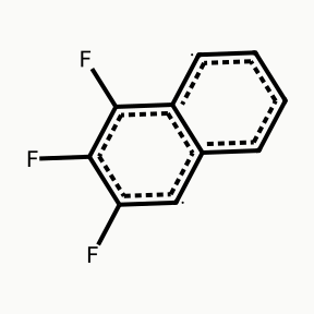 Fc1[c]c2ccc[c]c2c(F)c1F